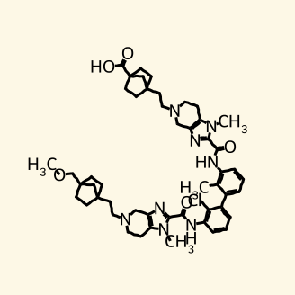 COCC12CCC(CCN3CCc4c(nc(C(=O)Nc5cccc(-c6cccc(NC(=O)c7nc8c(n7C)CCN(CCC79CCC(C(=O)O)(CC7)C9)C8)c6C)c5Cl)n4C)C3)(CC1)C2